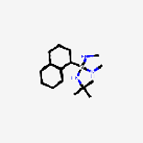 CN[Si](NC)(NC(C)(C)C)C1CCCC2CCCCC21